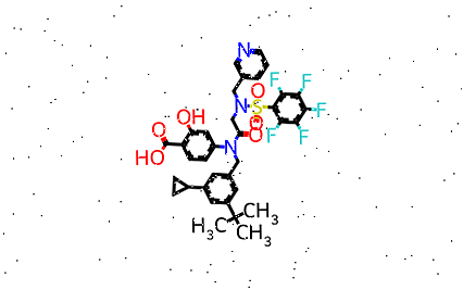 CC(C)(C)c1cc(CN(C(=O)CN(Cc2cccnc2)S(=O)(=O)c2c(F)c(F)c(F)c(F)c2F)c2ccc(C(=O)O)c(O)c2)cc(C2CC2)c1